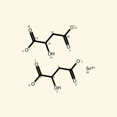 O=C([O-])CC(O)C(=O)[O-].O=C([O-])CC(O)C(=O)[O-].[Sn+4]